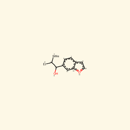 CCC(NC)C(O)c1ccc2ccoc2c1